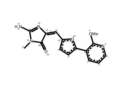 COc1ncccc1-c1ccc(/C=C2/N=C(N)N(C)C2=O)o1